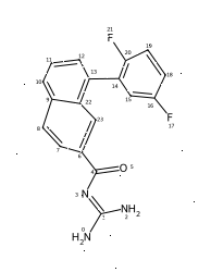 NC(N)=NC(=O)c1ccc2cccc(-c3cc(F)ccc3F)c2c1